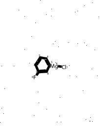 Fc1ccc[c]([Mg][Cl])c1